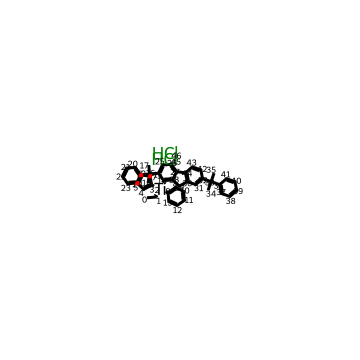 C[CH]=[Ti]([C]1=CC=CC1)([c]1ccccc1)[c]1c(C(C)(C)c2ccccc2)ccc2c1Cc1cc(C(C)(C)c3ccccc3)ccc1-2.Cl.Cl